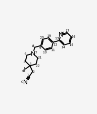 N#CCC1(I)CCN(Cc2ccc(-c3ccccn3)cc2)CC1